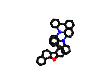 c1ccc(-c2ccccc2N(c2cccc(-c3cccc4oc5c6ccccc6ccc5c34)c2)c2ccccc2-n2c3ccccc3c3ccccc32)cc1